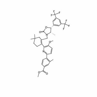 COC(=O)c1ccc(-c2ccc(OC)c(C3=C(CN4C(=O)O[C@H](c5cc(C(F)(F)F)cc(C(F)(F)F)c5)[C@@H]4C)CC(C)(C)CC3)n2)c(C)c1